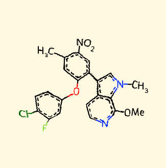 COc1nccc2c(-c3cc([N+](=O)[O-])c(C)cc3Oc3ccc(Cl)c(F)c3)cn(C)c12